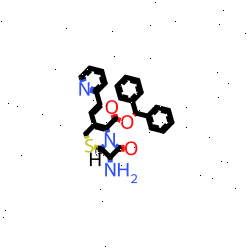 NC1C(=O)N2C(C(=O)OC(c3ccccc3)c3ccccc3)=C(C=Cc3ccccn3)CS[C@@H]12